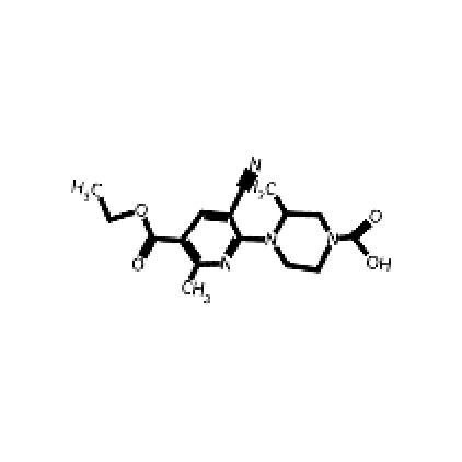 CCOC(=O)c1cc(C#N)c(N2CCN(C(=O)O)CC2C)nc1C